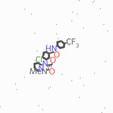 CNC(=O)[C@H]1COc2c(C(=O)Nc3ccc(C(F)(F)F)cc3)cccc2N1c1ncccc1Cl